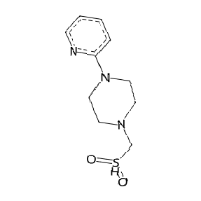 O=[SH](=O)CN1CCN(c2ccccn2)CC1